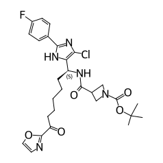 CC(C)(C)OC(=O)N1CC(C(=O)N[C@@H](CCCCCC(=O)c2ncco2)c2[nH]c(-c3ccc(F)cc3)nc2Cl)C1